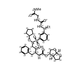 CCN(NC(=O)NCC(=O)NC)c1cccc(S(=O)(=O)N(C[C@@H](O)[C@H](Cc2ccccc2)NC(=O)O[C@H]2CO[C@H]3OCC[C@H]32)OC2CCCC2)c1